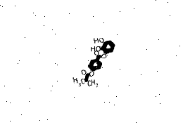 C=C(C)C(=O)Oc1ccc(C(=O)Oc2cccc(O)c2O)cc1